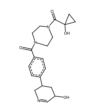 O=C(c1ccc(C2CN=CC(O)C2)cc1)N1CCN(C(=O)C2(O)CC2)CC1